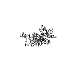 CC/N=C(/NCC)NCCCC[C@H](NC(=O)[C@H](CC(C)C)NC(=O)[C@@H](CCCCN/C(=N/CC)NCC)NC(=O)[C@H](Cc1ccc(O)cc1)NC(=O)[C@H](CO)NC(=O)[C@@H](Cc1cccnc1)NC(=O)[C@@H](Cc1ccc(Cl)cc1)NC(=O)[C@@H](Cc1ccc2ccccc2c1)NC(C)=O)C(=O)N1CCCC1C(=O)NC(C)C(=O)O